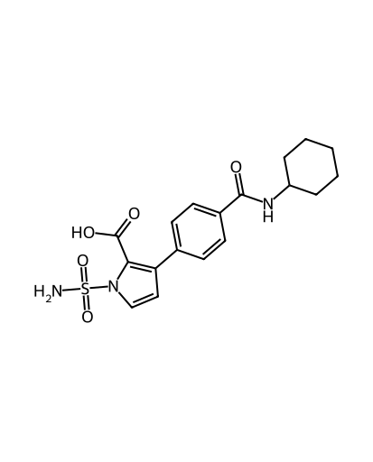 NS(=O)(=O)n1ccc(-c2ccc(C(=O)NC3CCCCC3)cc2)c1C(=O)O